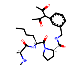 CCCC[C@H](NC(=O)[C@H](C)NC)C(=O)N1CCC[C@H]1C(=O)NCc1cccc(C(C(C)=O)C(C)=O)c1